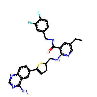 CCc1cnc(NCC2CC=C(c3ccc4ncnc(N)c4c3)S2)c(C(=O)NCc2ccc(F)c(F)c2)c1